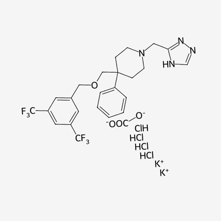 Cl.Cl.Cl.Cl.FC(F)(F)c1cc(COCC2(c3ccccc3)CCN(Cc3nnc[nH]3)CC2)cc(C(F)(F)F)c1.O=C([O-])[O-].[K+].[K+]